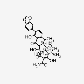 CC1c2ccc(-c3ccc4c(c3)OCO4)c(O)c2C(=O)C2=C(O)[C@]3(O)C(=O)C(C(N)=O)=C(O)[C@@H](N(C)C)[C@@H]3[C@@H](O)[C@@H]21